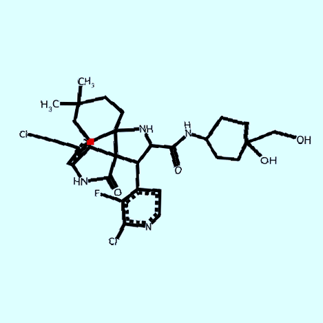 CC1(C)CCC2(CC1)NC(C(=O)NC1CCC(O)(CO)CC1)C(c1ccnc(Cl)c1F)C21C(=O)Nc2cc(Cl)ccc21